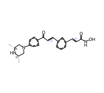 C[C@@H]1CN(c2ccc(C(=O)/C=C/c3cccc(/C=C/C(=O)NO)c3)cc2)C[C@H](C)N1